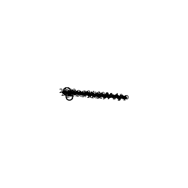 CCCCCCCCC=CCCCCCCCCCCCCCC(=O)OCC